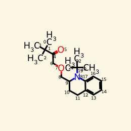 CC(C)(C)C(=O)COCC1CCc2ccccc2N1C(C)(C)C